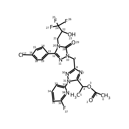 CC(=O)OC(C)c1nc(Cn2nc(-c3ccc(Cl)cc3)n(CC(O)C(F)(F)F)c2=O)nn1-c1cccc(F)n1